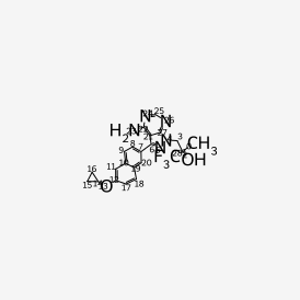 CC(O)(Cn1nc(-c2ccc3cc(OC4CC4)ccc3c2)c2c(N)ncnc21)C(F)(F)F